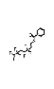 O=C(SCCC(F)(F)C(F)CC(F)(F)C(F)F)c1ccccc1